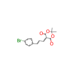 CC1(C)OC(=O)C(=CC=Cc2ccc(Br)cc2)C(=O)O1